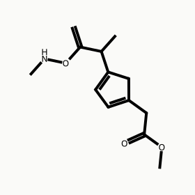 C=C(ONC)C(C)C1=CC=C(CC(=O)OC)C1